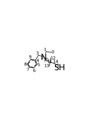 CCN(Cc1ccccc1)CC(C)(C)CS